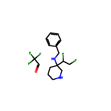 FCC(F)C1(NCc2ccccc2)CCCNC1.O=CC(F)(F)F